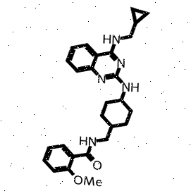 COc1ccccc1C(=O)NCC1CCC(Nc2nc(NCC3CC3)c3ccccc3n2)CC1